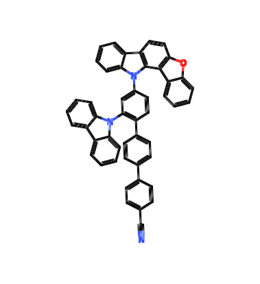 N#Cc1ccc(-c2ccc(-c3ccc(-n4c5ccccc5c5ccc6oc7ccccc7c6c54)cc3-n3c4ccccc4c4ccccc43)cc2)cc1